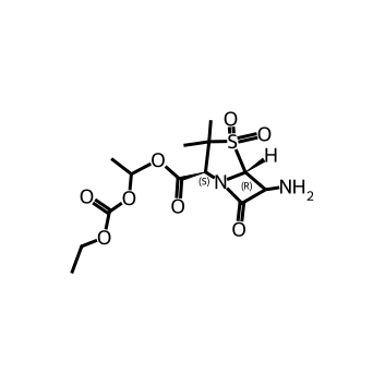 CCOC(=O)OC(C)OC(=O)[C@@H]1N2C(=O)C(N)[C@H]2S(=O)(=O)C1(C)C